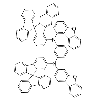 c1cc(N(c2ccc3c(c2)C2(c4ccccc4-c4ccccc42)c2ccccc2-3)c2ccc3c(c2)oc2ccccc23)cc(N(c2cccc3c2-c2cc4ccccc4cc2C32c3ccccc3-c3ccccc32)c2cccc3oc4ccccc4c23)c1